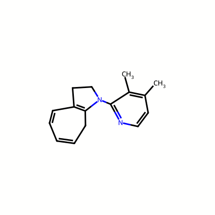 Cc1ccnc(N2CCC3=C2CC=CC=C3)c1C